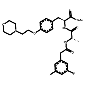 COC(=O)[C@H](Cc1ccc(OCCN2CCOCC2)cc1)NC(=O)[C@H](C)NC(=O)Cc1cc(F)cc(F)c1